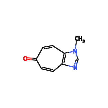 Cn1cnc2ccc(=O)ccc21